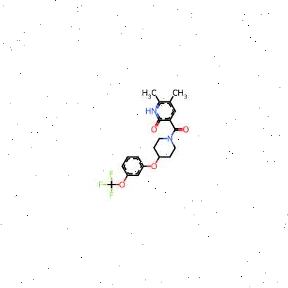 Cc1cc(C(=O)N2CCC(Oc3cccc(OC(F)(F)F)c3)CC2)c(=O)[nH]c1C